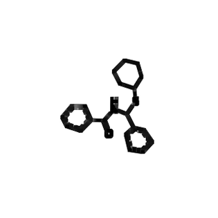 O=C(NC(SC1CCCCC1)c1ccccc1)c1ccccc1